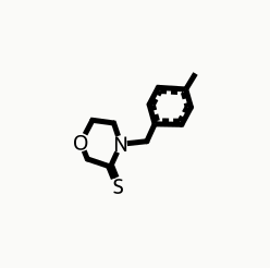 Cc1ccc(CN2CCOCC2=S)cc1